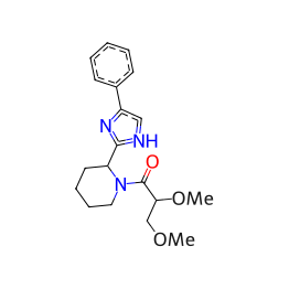 COCC(OC)C(=O)N1CCCCC1c1nc(-c2ccccc2)c[nH]1